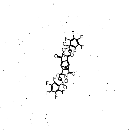 O=c1c2c3ccc(c2c(=O)n1OS(=O)(=O)c1c(F)c(F)c(F)c(F)c1F)c1c(=O)n(OS(=O)(=O)c2c(F)c(F)c(F)c(F)c2F)c(=O)c31